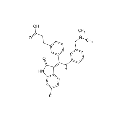 CN(C)Cc1cccc(NC(=C2C(=O)Nc3cc(Cl)ccc32)c2cccc(CCC(=O)O)c2)c1